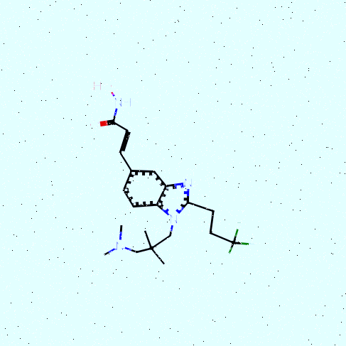 CN(C)CC(C)(C)Cn1c(CCC(F)(F)F)nc2cc(C=CC(=O)NO)ccc21